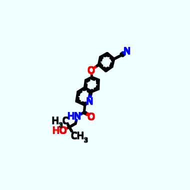 CC(C)(O)CNC(=O)c1ccc2cc(Oc3ccc(C#N)cc3)ccc2n1